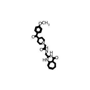 COc1ccc(C(=O)C2CCN(CC(=O)NCC3NC(=O)C4CCC=CC=C4N3)CC2)cc1